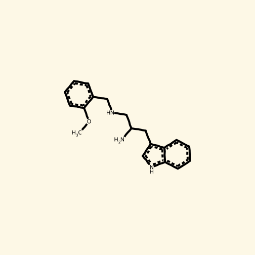 COc1ccccc1CNCC(N)Cc1c[nH]c2ccccc12